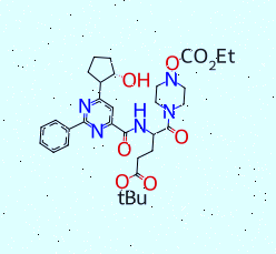 CCOC(=O)ON1CCN(C(=O)C(CCC(=O)OC(C)(C)C)NC(=O)c2cc(C3CCC[C@@H]3O)nc(-c3ccccc3)n2)CC1